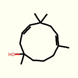 CC1=CCC(C)(C)C=CCC(C)(O)CCC1